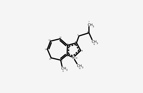 CC1=c2c(c(CC(C)C)cn2C)=CC=CC1